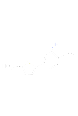 CSc1ccc(-c2ccc(C(=O)O)s2)cc1N